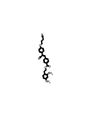 N#CCCCOc1ccc(/C(C#N)=C/c2ccc(C(=O)OCCc3ccc(N)cc3N)cc2)cc1